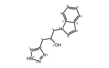 OC(Cc1nn[nH]n1)Cn1ccc2ccccc21